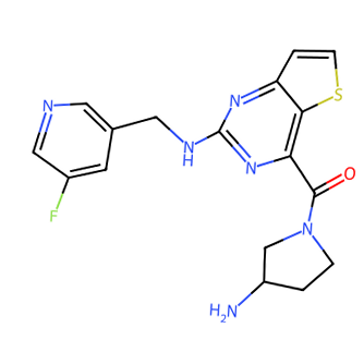 NC1CCN(C(=O)c2nc(NCc3cncc(F)c3)nc3ccsc23)C1